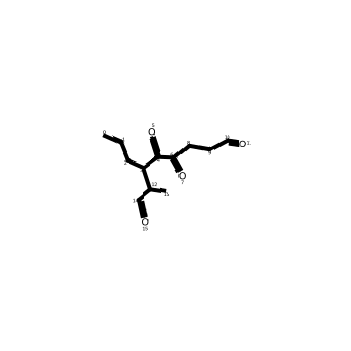 CCCC(C(=O)C(=O)CCC=O)C(C)C=O